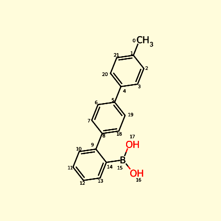 Cc1ccc(-c2ccc(-c3ccccc3B(O)O)cc2)cc1